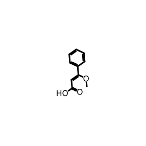 COC(=CC(=O)O)c1ccccc1